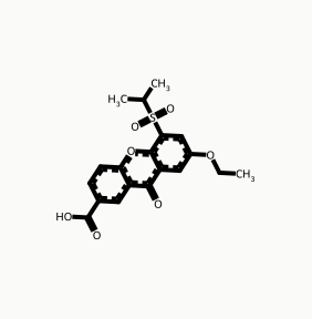 CCOc1cc(S(=O)(=O)C(C)C)c2oc3ccc(C(=O)O)cc3c(=O)c2c1